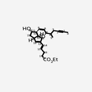 CC#CCC(C)[C@@H](O)/C=C\[C@H]1[C@H]2CC(C=CCCC(=O)OCC)=C[C@H]2C[C@H]1O